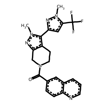 Cn1nc(-c2c3c(nn2C)CN(C(=O)c2ccc4ncccc4c2)CC3)cc1C(F)(F)F